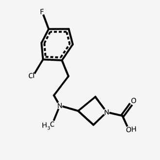 CN(CCc1ccc(F)cc1Cl)C1CN(C(=O)O)C1